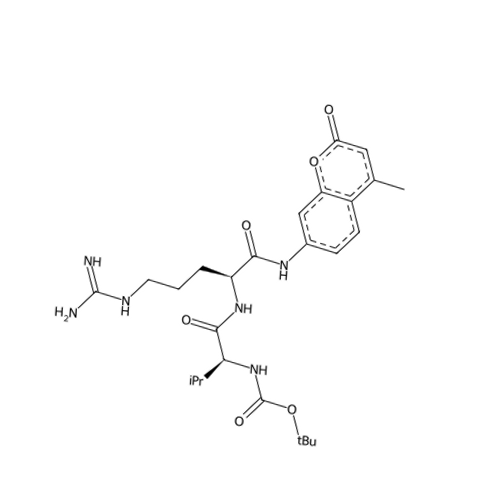 Cc1cc(=O)oc2cc(NC(=O)[C@H](CCCNC(=N)N)NC(=O)[C@@H](NC(=O)OC(C)(C)C)C(C)C)ccc12